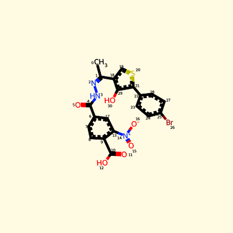 CC(=NNC(=O)c1ccc(C(=O)O)c([N+](=O)[O-])c1)c1csc(-c2ccc(Br)cc2)c1O